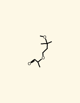 COC(C)(C)CCOC(C)C=O